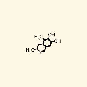 Cc1c(O)c(O)cc2c1CC(C)N=C2